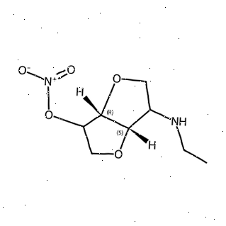 CCNC1CO[C@H]2C(O[N+](=O)[O-])CO[C@@H]12